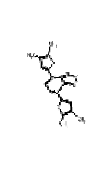 Cc1cc(-c2ccc(-c3cc(C)c(C)s3)c3nsnc23)sc1C